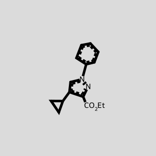 CCOC(=O)c1nn(-c2ccccc2)cc1C1CC1